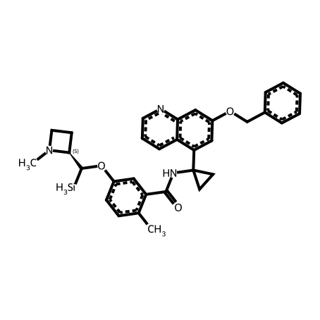 Cc1ccc(OC([SiH3])[C@@H]2CCN2C)cc1C(=O)NC1(c2cc(OCc3ccccc3)cc3ncccc23)CC1